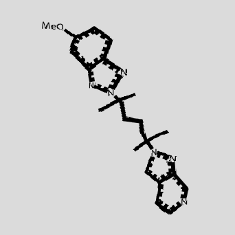 COc1ccc2nn(C(C)(C)CCC(C)(C)n3cc4ccncc4n3)nc2c1